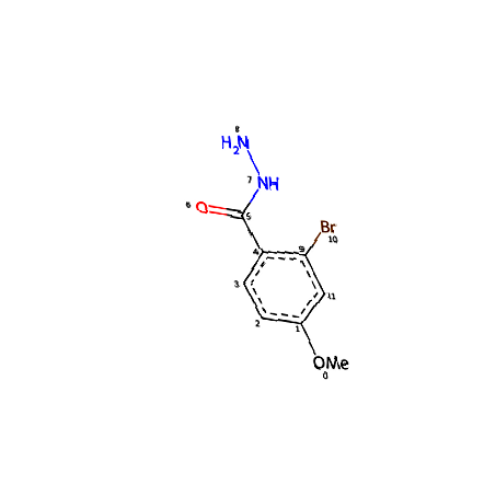 COc1ccc(C(=O)NN)c(Br)c1